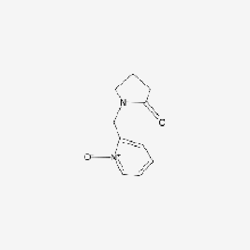 O=C1CCCN1Cc1cccc[n+]1[O-]